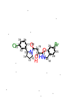 C[C@H](NC(=O)[C@H](O)[C@@H](C)C(=O)N1CCCC1c1cccc(Cl)c1)c1ccc(Br)cc1